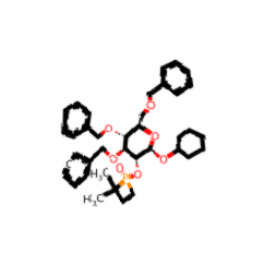 CC1(C)CCP1(=O)O[C@H]1[C@H](OC2CCCCC2)O[C@H](COCc2ccccc2)[C@@H](OCc2ccccc2)[C@@H]1OCc1ccccc1